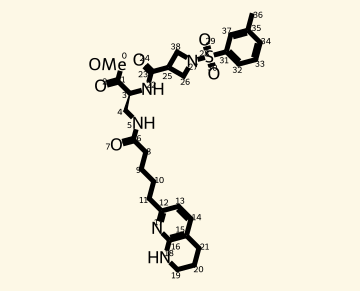 COC(=O)[C@H](CNC(=O)CCCCc1ccc2c(n1)NCCC2)NC(=O)C1CN(S(=O)(=O)c2cccc(C)c2)C1